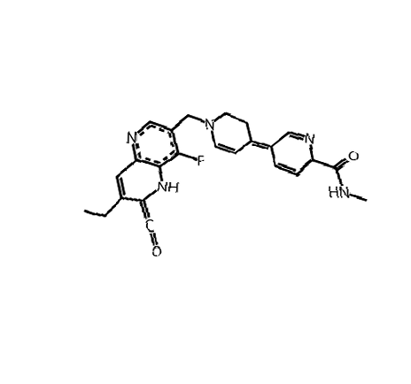 CCC1=Cc2ncc(CN3C=CC(=C4C=CC(C(=O)NC)N=C4)CC3)c(F)c2NC1=C=O